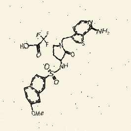 COc1ccc2ccc(S(=O)(=O)N[C@H]3CCN(Cc4csc5c(N)nccc45)C3=O)cc2c1.O=C(O)C(F)(F)F